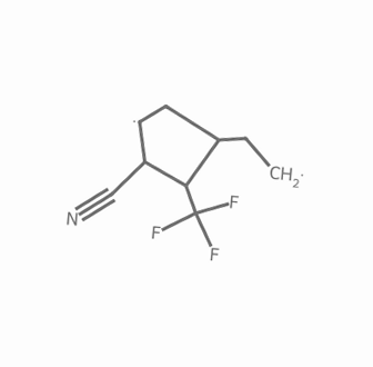 [CH2]CC1C[CH]C(C#N)C1C(F)(F)F